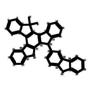 CC1(C)c2ccccc2-c2c1c1c3ccccc3n(-c3ccc4sc5ccccc5c4c3)c1c1oc3ccccc3c21